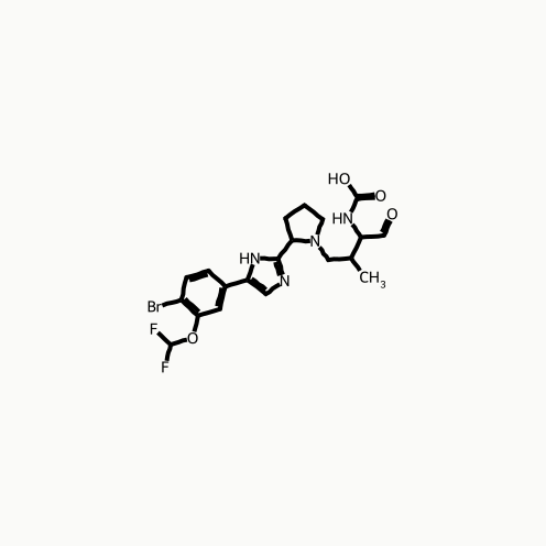 CC(CN1CCCC1c1ncc(-c2ccc(Br)c(OC(F)F)c2)[nH]1)C(C=O)NC(=O)O